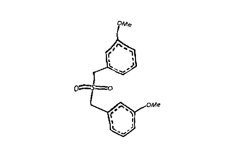 COc1cccc(CS(=O)(=O)Cc2cccc(OC)c2)c1